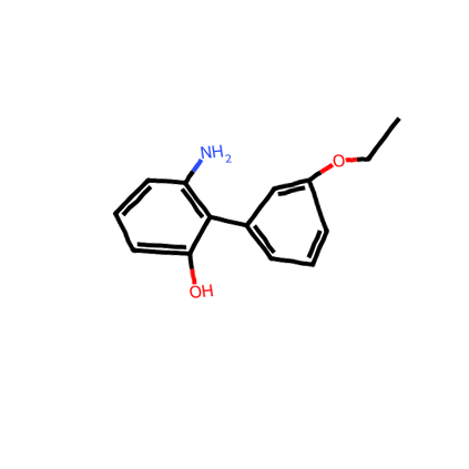 CCOc1cccc(-c2c(N)cccc2O)c1